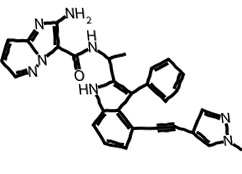 CC(NC(=O)c1c(N)nc2cccnn12)c1[nH]c2cccc(C#Cc3cnn(C)c3)c2c1-c1ccccc1